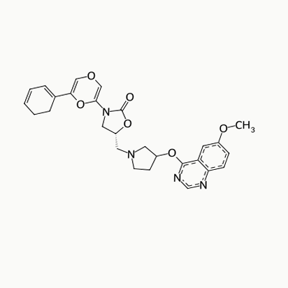 COc1ccc2ncnc(OC3CCN(C[C@@H]4CN(C5=COC=C(C6=CC=CCC6)O5)C(=O)O4)C3)c2c1